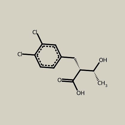 C[C@@H](O)[C@@H](Cc1ccc(Cl)c(Cl)c1)C(=O)O